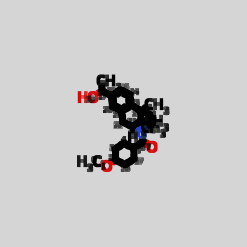 COC1CCC(C(=O)N2CC[C@@]3(C)c4ccc(C(C)O)cc4C[C@@H]2C3(C)C)CC1